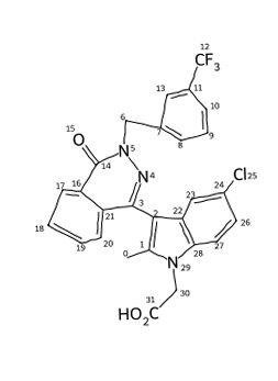 Cc1c(-c2nn(Cc3cccc(C(F)(F)F)c3)c(=O)c3ccccc23)c2cc(Cl)ccc2n1CC(=O)O